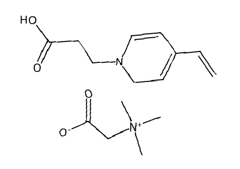 C=CC1=CCN(CCC(=O)O)C=C1.C[N+](C)(C)CC(=O)[O-]